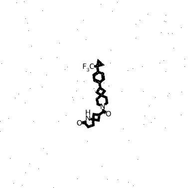 O=C1CCC2(CC(C(=O)N3CCC4(CC3)CC(c3ccc(C5(C(F)(F)F)CC5)cc3)C4)C2)N1